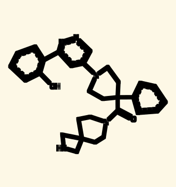 O=C(N1CCC2(CC1)CNC2)C1(c2ccccc2)CCN(c2cnnc(-c3ccccc3O)c2)CC1